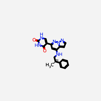 C[C@H](CNc1cc(-c2c[nH]c(=O)[nH]c2=O)nn2nccc12)c1ccccc1